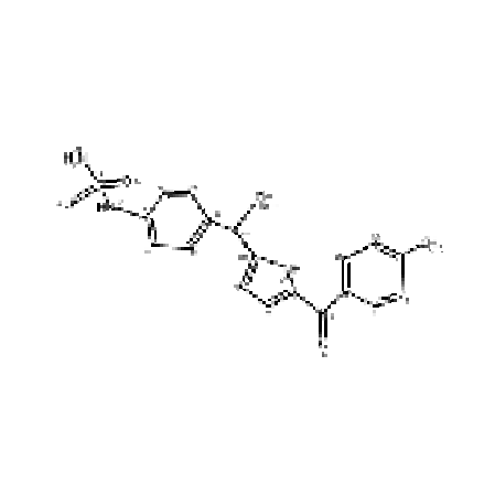 Cc1ccc(C(=O)c2ccc(C(C)c3ccc(NS(N)(=O)=O)cc3)[nH]2)cc1